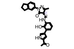 CC(=O)c1cc(-c2cccc(N/N=C3\C(=O)N(c4ccc5c(c4)CCC5)N=C3C)c2O)c[nH]1